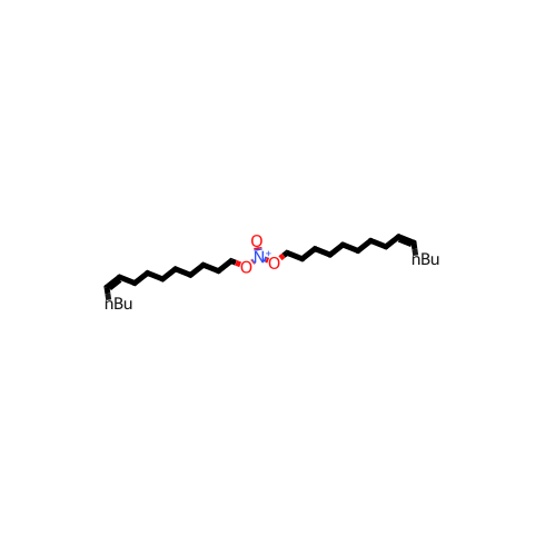 CCCC/C=C\CCCCCCCCO[N+](=O)OCCCCCCCC/C=C\CCCC